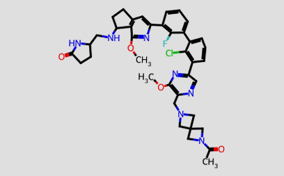 COc1nc(-c2cccc(-c3cccc(-c4cc5c(c(OC)n4)C(NCC4CCC(=O)N4)CC5)c3F)c2Cl)cnc1CN1CC2(C1)CN(C(C)=O)C2